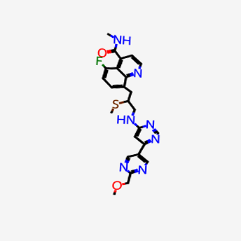 CNC(=O)c1ccnc2c(CC(CNc3cc(-c4cnc(COC)nc4)ncn3)SC)ccc(F)c12